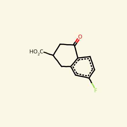 O=C1CC(C(=O)O)Cc2cc(F)ccc21